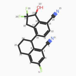 N#Cc1cc(F)cc2c1C(c1ccc(C#N)c3c1CC(F)(F)C3O)CCC2